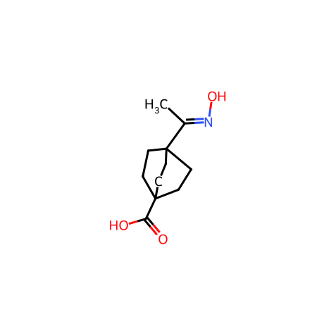 CC(=NO)C12CCC(C(=O)O)(CC1)CC2